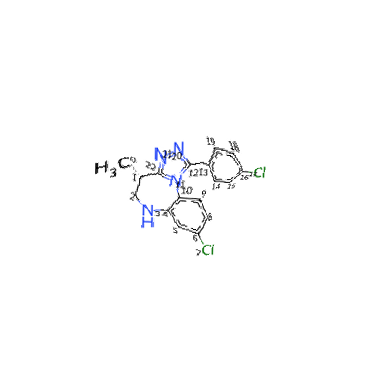 C[C@H]1CNc2cc(Cl)ccc2-n2c(-c3ccc(Cl)cc3)nnc21